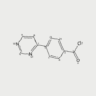 O=C(Cl)c1ccc(-c2ccncn2)cc1